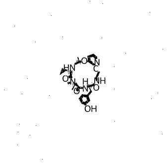 C[C@@H]1CN[C@@H](C2CC2)C(=O)N(C)[C@H](C)C(=O)N[C@H](Cc2cccc(O)c2)C(=O)NCCCc2ncccc2O1